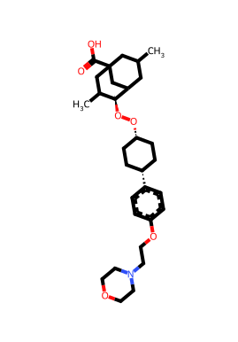 CC1CC2CC(C(=O)O)(C1)CC(C)[C@@H]2OO[C@H]1CC[C@@H](c2ccc(OCCN3CCOCC3)cc2)CC1